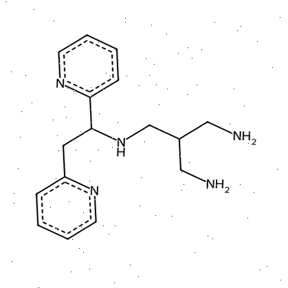 NCC(CN)CNC(Cc1ccccn1)c1ccccn1